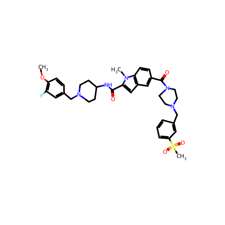 COc1ccc(CN2CCC(NC(=O)c3cc4cc(C(=O)N5CCN(Cc6cccc(S(C)(=O)=O)c6)CC5)ccc4n3C)CC2)cc1F